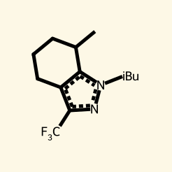 CCC(C)n1nc(C(F)(F)F)c2c1C(C)CCC2